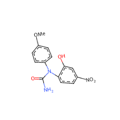 COc1ccc(N(C(N)=O)c2ccc([N+](=O)[O-])cc2O)cc1